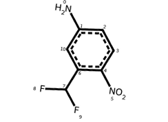 Nc1ccc([N+](=O)[O-])c(C(F)F)c1